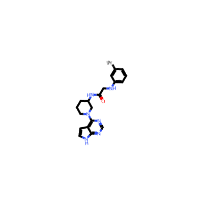 CC(C)c1cccc(NCC(=O)NC2CCCN(c3ncnc4[nH]ccc34)C2)c1